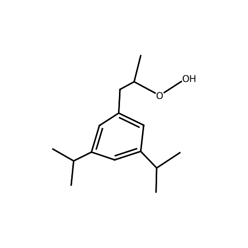 CC(Cc1cc(C(C)C)cc(C(C)C)c1)OO